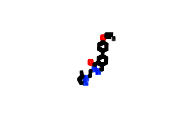 Cc1ccnn1CCn1ncc2ccc(-c3ccc(OC(F)(F)F)cc3)cc2c1=O